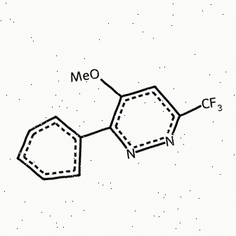 COc1cc(C(F)(F)F)nnc1-c1ccccc1